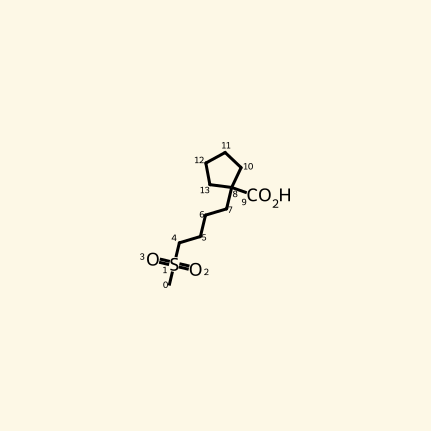 CS(=O)(=O)CCCCC1(C(=O)O)CCCC1